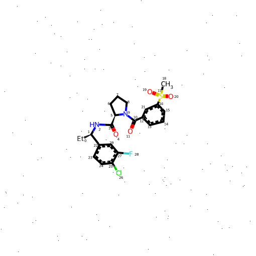 CC[C@@H](NC(=O)[C@H]1CCCN1C(=O)c1cccc(S(C)(=O)=O)c1)c1ccc(Cl)c(F)c1